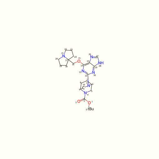 CC(C)(C)OC(=O)N1CC2CCC1CN2c1nc(OCC23CCCN2CCC3)c2nc[nH]c2n1